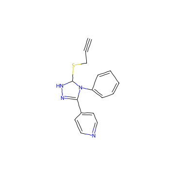 C#CCSC1NN=C(c2ccncc2)N1c1ccccc1